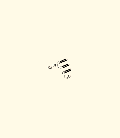 O.O.[C]=O.[C]=O.[C]=O.[Ru]